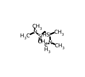 CN(C)[SiH](C)C[SiH](C)N(C)C